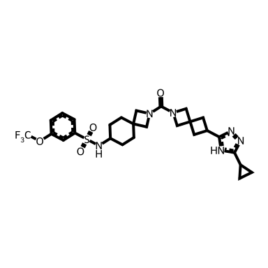 O=C(N1CC2(CCC(NS(=O)(=O)c3cccc(OC(F)(F)F)c3)CC2)C1)N1CC2(CC(c3nnc(C4CC4)[nH]3)C2)C1